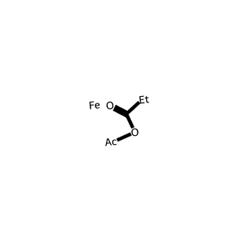 CCC(=O)OC(C)=O.[Fe]